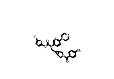 CC(C)(C)c1ccc(C(=O)N2CC3C(C2)C3CN(C(=O)Oc2ccc(F)s2)c2ccc(N3CCOCC3)nc2)cc1